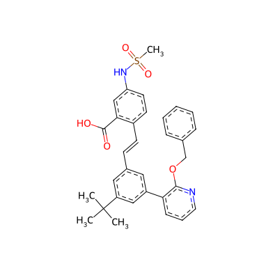 CC(C)(C)c1cc(/C=C/c2ccc(NS(C)(=O)=O)cc2C(=O)O)cc(-c2cccnc2OCc2ccccc2)c1